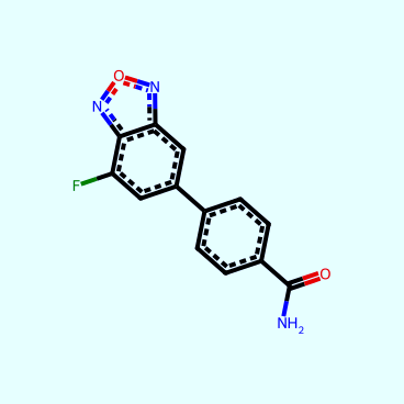 NC(=O)c1ccc(-c2cc(F)c3nonc3c2)cc1